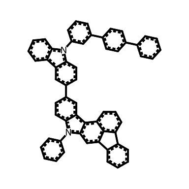 c1ccc(-c2ccc(-c3cccc(-n4c5ccccc5c5cc(-c6ccc7c(c6)c6c8cccc9c8c(cc6n7-c6ccccc6)-c6ccccc6-9)ccc54)c3)cc2)cc1